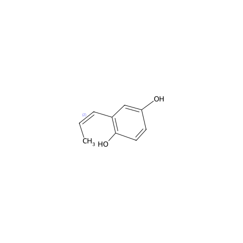 C/C=C\c1cc(O)ccc1O